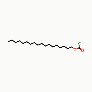 CCCCCCCCCCCCCCCCCCOC(=O)Cl